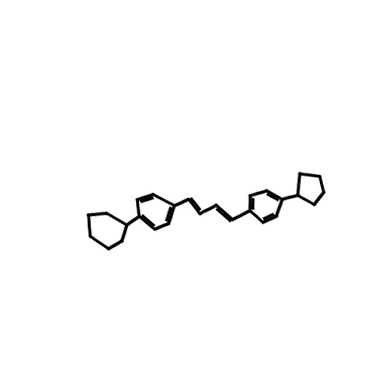 C(C=Cc1ccc(C2CCCC2)cc1)=Cc1ccc(C2CCCCC2)cc1